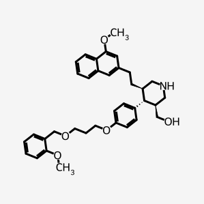 COc1ccccc1COCCCOc1ccc([C@H]2[C@H](CO)CNC[C@@H]2CCc2cc(OC)c3ccccc3c2)cc1